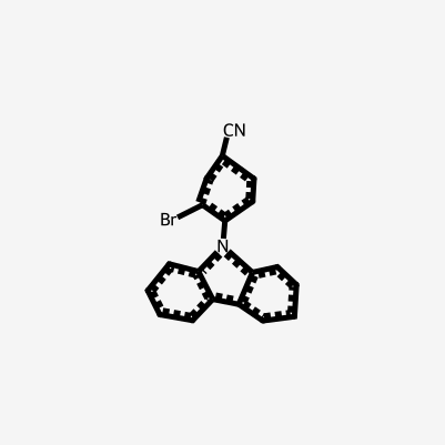 N#Cc1ccc(-n2c3ccccc3c3ccccc32)c(Br)c1